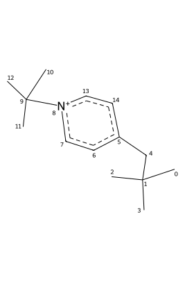 CC(C)(C)Cc1cc[n+](C(C)(C)C)cc1